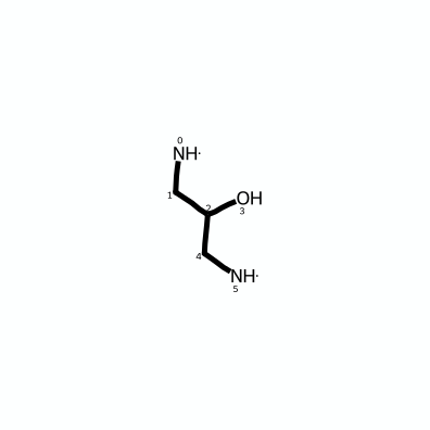 [NH]CC(O)C[NH]